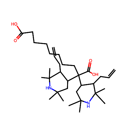 C=CCC1C(C(CCCCCCCC(=O)O)(C(=O)O)C2CC(C)(C)NC(C)(C)C2CC=C)CC(C)(C)NC1(C)C